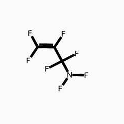 FC(F)=C(F)C(F)(F)N(F)F